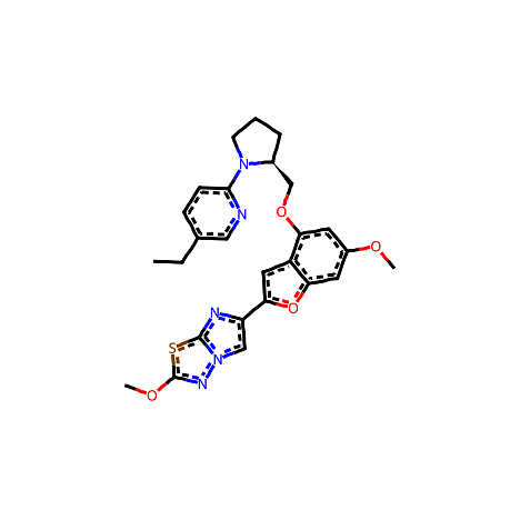 CCc1ccc(N2CCC[C@H]2COc2cc(OC)cc3oc(-c4cn5nc(OC)sc5n4)cc23)nc1